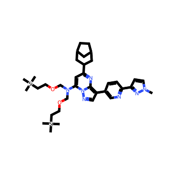 Cn1ccc(-c2ccc(-c3cnn4c(N(COCC[Si](C)(C)C)COCC[Si](C)(C)C)cc(C5CC6CCC(C6)C5)nc34)cn2)n1